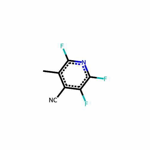 Cc1c(F)nc(F)c(F)c1C#N